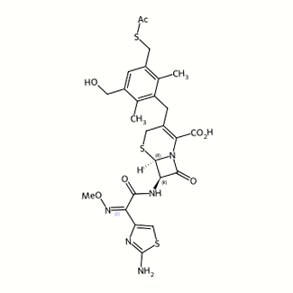 CO/N=C(\C(=O)N[C@@H]1C(=O)N2C(C(=O)O)=C(Cc3c(C)c(CO)cc(CSC(C)=O)c3C)CS[C@H]12)c1csc(N)n1